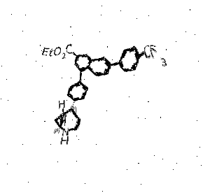 CCOC(=O)c1cc(-c2ccc([C@@H]3CCN[C@@H]4C[C@@H]43)cc2)c2ccc(-c3ccc(C(F)(F)F)cc3)cc2c1